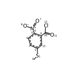 CSc1ccc([N+](=O)[O-])c(C(=O)Cl)c1